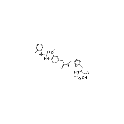 COc1cc(CC(=O)N(C)Cc2cnc(CC(NC(C)=O)C(=O)O)s2)ccc1NC(=O)Nc1ccccc1C